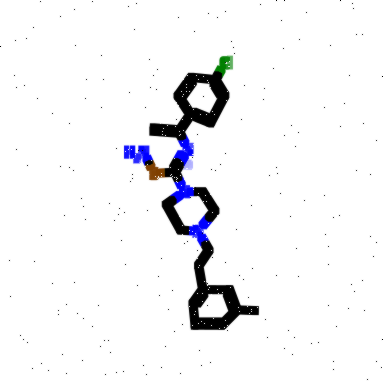 C=C(/N=C(\SN)N1CCN(CCc2cccc(C)c2)CC1)c1ccc(Cl)cc1